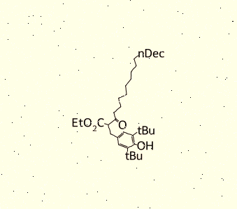 CCCCCCCCCCCCCCCCCCCC(=O)C(Cc1cc(C(C)(C)C)c(O)c(C(C)(C)C)c1)C(=O)OCC